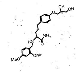 COc1ccc(CNC(CCCc2ccc(OC[C@@H](O)CO)cc2)C(N)=O)c(OC)c1